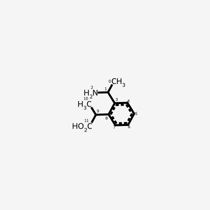 CC(N)c1ccccc1C(C)C(=O)O